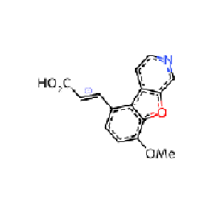 COc1ccc(/C=C/C(=O)O)c2c1oc1cnccc12